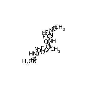 C[C@H]1CN(C(=O)Nc2cnc(CN3CCN(C)CC3)c(C(F)(F)F)c2)Cc2cc(Oc3c(F)cnc4[nH]c(-c5cnn(C)c5)cc34)ccc21